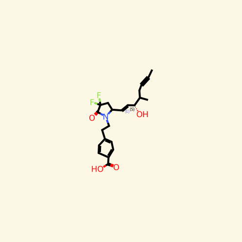 CC#CCC(C)[C@H](O)/C=C/C1CC(F)(F)C(=O)N1CCc1ccc(C(=O)O)cc1